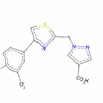 O=C(O)c1cnn(Cc2nc(-c3ccc(F)c(C(F)(F)F)c3)cs2)c1